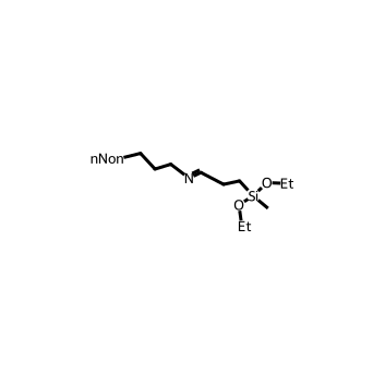 CCCCCCCCCCCCN=CCC[Si](C)(OCC)OCC